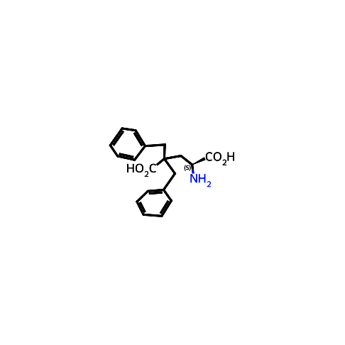 N[C@@H](CC(Cc1ccccc1)(Cc1ccccc1)C(=O)O)C(=O)O